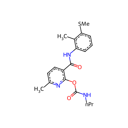 CCCNC(=O)Oc1nc(C)ccc1C(=O)Nc1cccc(SC)c1C